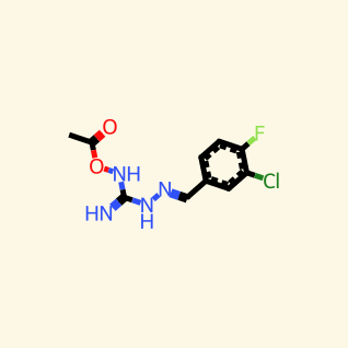 CC(=O)ONC(=N)NN=Cc1ccc(F)c(Cl)c1